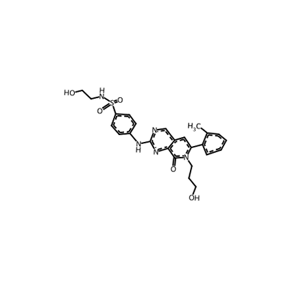 Cc1ccccc1-c1cc2cnc(Nc3ccc(S(=O)(=O)NCCO)cc3)nc2c(=O)n1CCCO